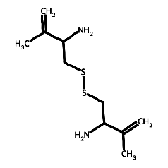 C=C(C)C(N)CSSCC(N)C(=C)C